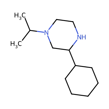 CC(C)N1CCNC(C2CCCCC2)C1